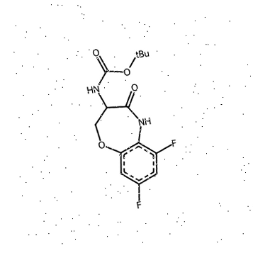 CC(C)(C)OC(=O)NC1COc2cc(F)cc(F)c2NC1=O